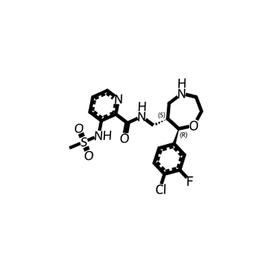 CS(=O)(=O)Nc1cccnc1C(=O)NC[C@@H]1CNCCO[C@H]1c1ccc(Cl)c(F)c1